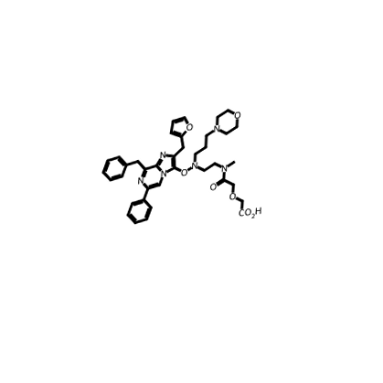 CN(CCN(CCCN1CCOCC1)Oc1c(Cc2ccco2)nc2c(Cc3ccccc3)nc(-c3ccccc3)cn12)C(=O)COCC(=O)O